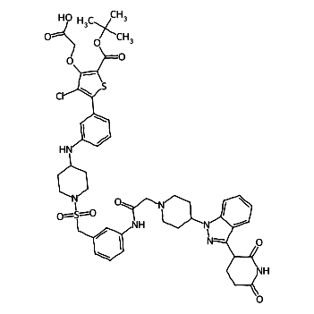 CC(C)(C)OC(=O)c1sc(-c2cccc(NC3CCN(S(=O)(=O)Cc4cccc(NC(=O)CN5CCC(n6nc(C7CCC(=O)NC7=O)c7ccccc76)CC5)c4)CC3)c2)c(Cl)c1OCC(=O)O